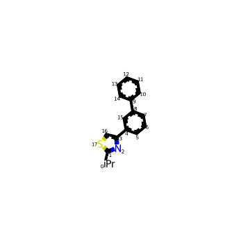 CC(C)c1nc(-c2cccc(-c3ccccc3)c2)cs1